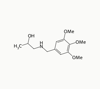 COc1cc(CNCC(C)O)cc(OC)c1OC